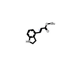 CC(C)(C)OC(=O)/C=C/c1cccc2c1CCN2